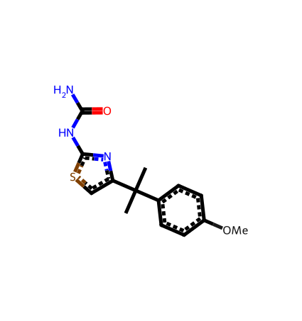 COc1ccc(C(C)(C)c2csc(NC(N)=O)n2)cc1